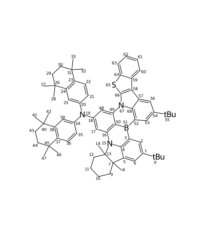 CC(C)(C)c1cc2c3c(c1)C1(C)CCCCC1(C)N3c1cc(N(c3ccc4c(c3)C(C)(C)CCC4(C)C)c3ccc4c(c3)C(C)(C)CCC4(C)C)cc3c1B2c1cc(C(C)(C)C)cc2c4c5ccccc5sc4n-3c12